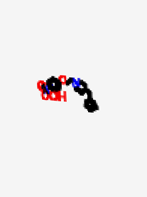 O=[N+]([O-])c1ccc(OCCN2CCC(Cc3ccccc3)CC2)cc1O